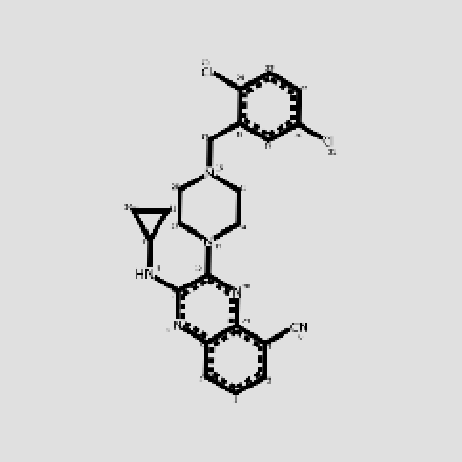 N#Cc1cccc2nc(NC3CC3)c(N3CCN(Cc4cc(Cl)ccc4Cl)CC3)nc12